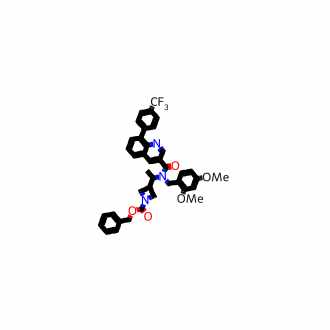 COc1ccc(CN(C(=O)c2cnc3c(-c4ccc(C(F)(F)F)cc4)cccc3c2)C(C)C2CN(C(=O)OCc3ccccc3)C2)c(OC)c1